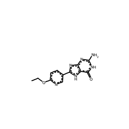 CCOc1ccc(-c2nc3nc(N)[nH]c(=O)c3[nH]2)cn1